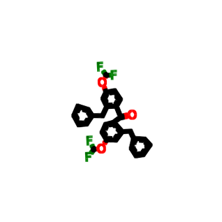 O=C(c1ccc(OC(F)F)cc1Cc1ccccc1)c1ccc(OC(F)F)cc1Cc1ccccc1